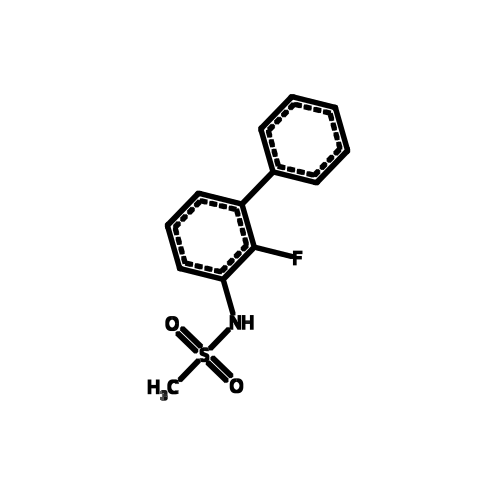 CS(=O)(=O)Nc1cccc(-c2ccccc2)c1F